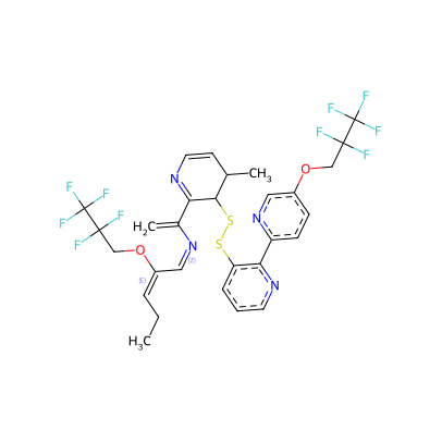 C=C(/N=C\C(=C/CC)OCC(F)(F)C(F)(F)F)C1=NC=CC(C)C1SSc1cccnc1-c1ccc(OCC(F)(F)C(F)(F)F)cn1